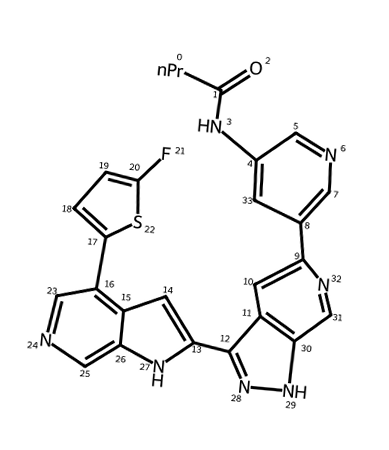 CCCC(=O)Nc1cncc(-c2cc3c(-c4cc5c(-c6ccc(F)s6)cncc5[nH]4)n[nH]c3cn2)c1